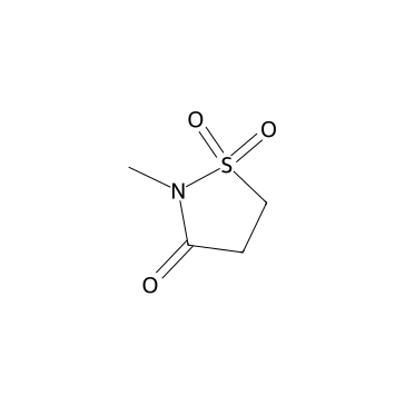 CN1C(=O)CCS1(=O)=O